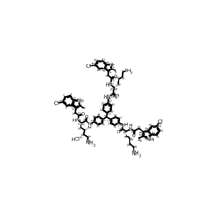 Cc1[nH]c2ccc(Cl)cc2c1CC(=O)N[C@H](CCCCN)C(=O)Nc1ccc(C(c2ccc(NC(=O)[C@@H](CCCCN)NC(=O)Cc3c(C)[nH]c4ccc(Cl)cc34)cc2)c2ccc(NC(=O)[C@@H](CCCCN)NC(=O)Cc3c(C)[nH]c4ccc(Cl)cc34)cc2)cc1.Cl